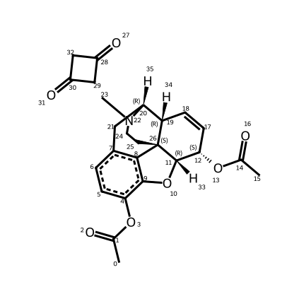 CC(=O)Oc1ccc2c3c1O[C@H]1[C@@H](OC(C)=O)C=C[C@H]4[C@@H](C2)N(C)CC[C@@]341.O=C1CC(=O)C1